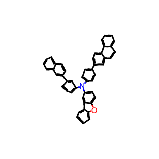 c1cc(-c2ccc3ccccc3c2)cc(N(c2ccc(-c3ccc4c(ccc5ccccc54)c3)cc2)c2ccc3oc4ccccc4c3c2)c1